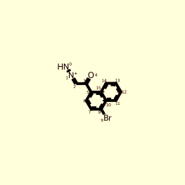 N=[N+]=CC(=O)c1ccc(Br)c2ccccc12